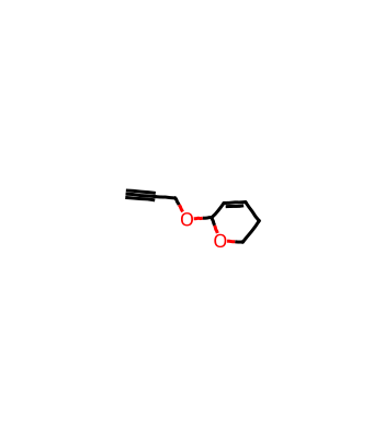 C#CCOC1C=CCCO1